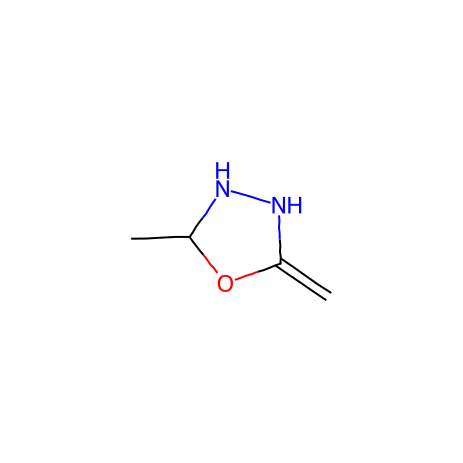 C=C1NNC(C)O1